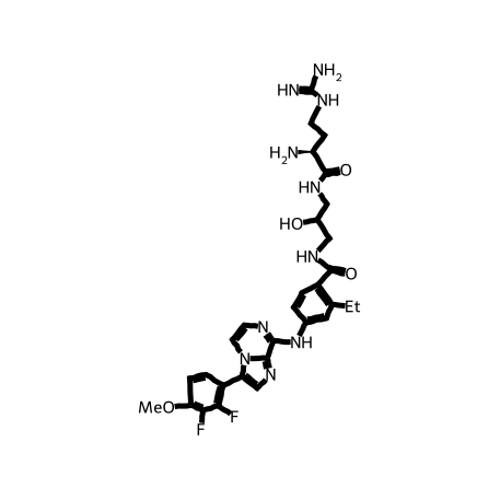 CCc1cc(Nc2nccn3c(-c4ccc(OC)c(F)c4F)cnc23)ccc1C(=O)NCC(O)CNC(=O)[C@@H](N)CCNC(=N)N